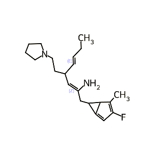 CC/C=C/C(/C=C(\N)CC1C2=CC(F)=C(C)C21)CCN1CCCC1